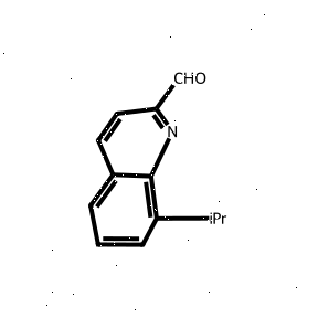 CC(C)c1cccc2ccc(C=O)nc12